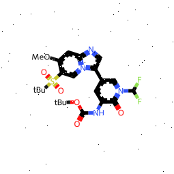 COc1cc2ncc(-c3cc(NC(=O)OC(C)(C)C)c(=O)n(C(F)F)c3)n2cc1S(=O)(=O)C(C)(C)C